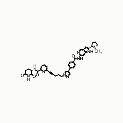 CN1CCC[C@@H]1c1cc2cnc(NC(=O)c3ccc(-c4cnn(CCCC#Cc5cccc(C(=O)N[C@H]6CCC(=O)NC6=O)n5)c4)cc3)cc2[nH]1